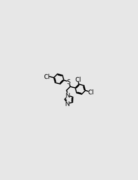 Clc1ccc(SC(Cn2ccnc2)c2ccc(Cl)cc2Cl)cc1